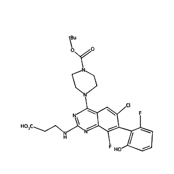 CC(C)(C)OC(=O)N1CCN(c2nc(NCCC(=O)O)nc3c(F)c(-c4c(O)cccc4F)c(Cl)cc23)CC1